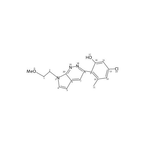 COCCn1ccc2cc(-c3c(C)cc(Cl)cc3O)nnc21